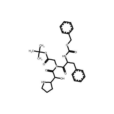 CC(C)(C)OC(=O)CN(C(=O)C(Cc1ccccc1)NC(=O)OCc1ccccc1)C(=O)C(O)C1CCCN1